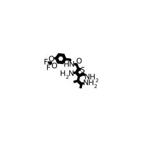 C/C(N)=C(\C)c1c(N)sc(C(=O)NCc2ccc3c(c2)OC(F)(F)O3)c1N